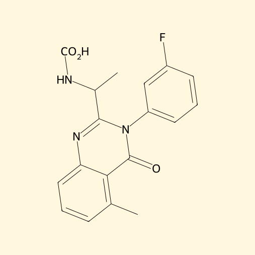 Cc1cccc2nc(C(C)NC(=O)O)n(-c3cccc(F)c3)c(=O)c12